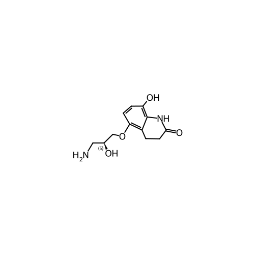 NC[C@H](O)COc1ccc(O)c2c1CCC(=O)N2